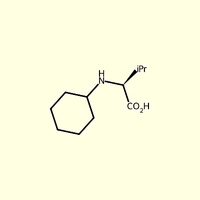 CC(C)[C@H](NC1CCCCC1)C(=O)O